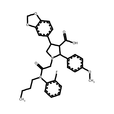 CCCCN(C(=O)CN1CC(c2ccc3c(c2)OCO3)C(C(=O)O)C1c1ccc(OC)cc1)c1ccccc1F